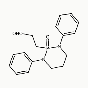 O=CCCP1(=O)N(c2ccccc2)CCCN1c1ccccc1